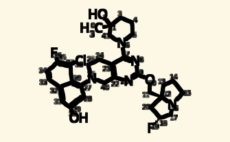 C[C@@]1(O)CCCN(c2nc(OC[C@@]34CCCN3C[C@H](F)C4)nc3c2CCN(c2cc(O)cc4ccc(F)c(Cl)c24)C3)C1